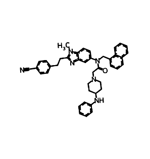 Cn1c(CCc2ccc(C#N)cc2)nc2cc(N(Cc3cccc4ccccc34)C(=O)CN3CCC(Nc4ccccc4)CC3)ccc21